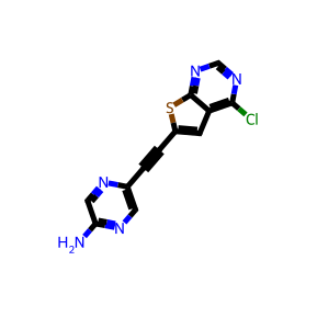 Nc1cnc(C#Cc2cc3c(Cl)ncnc3s2)cn1